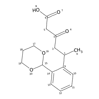 CC(CC(=O)CC(=O)O)c1ccccc1C1OCCCO1